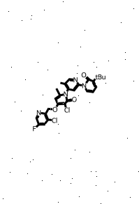 Cc1cnc(-n2cccc(C(C)(C)C)c2=O)cc1-n1c(C)cc(OCc2ncc(F)cc2Cl)c(Cl)c1=O